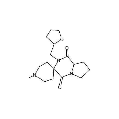 CN1CCC2(CC1)C(=O)N1CCCC1C(=O)N2CC1CCCO1